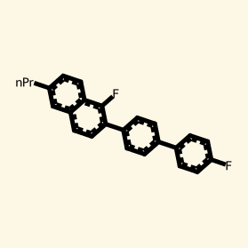 CCCc1ccc2c(F)c(-c3ccc(-c4ccc(F)cc4)cc3)ccc2c1